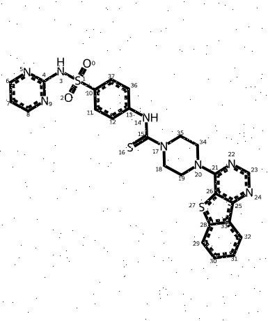 O=S(=O)(Nc1ncccn1)c1ccc(NC(=S)N2CCN(c3ncnc4c3sc3ccccc34)CC2)cc1